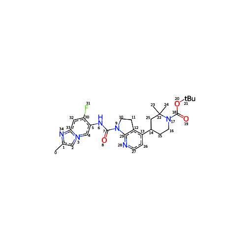 Cc1cn2cc(NC(=O)N3CCc4c(C5CCN(C(=O)OC(C)(C)C)C(C)(C)C5)ccnc43)c(F)cc2n1